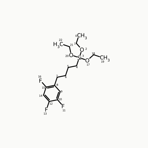 CCO[Si](CCCCc1cc(F)c(F)cc1F)(OCC)OCC